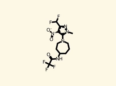 Cn1nc(C(F)F)c([N+](=O)[O-])c1N1CCCC(NC(=O)C(F)(F)F)CC1